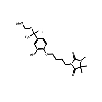 CCCc1cc(C(OCOC)(C(F)(F)F)C(F)(F)F)ccc1OCCCCN1C(=O)N(C)C(C)(C)C1=O